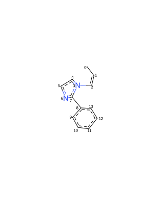 C/C=C\n1ccnc1-c1ccccc1